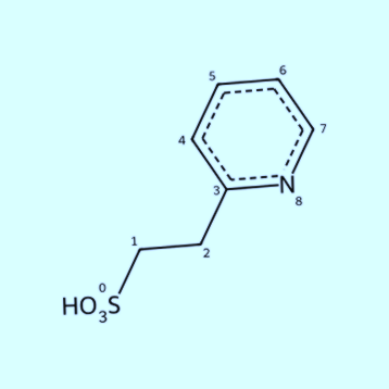 O=S(=O)(O)CCc1ccccn1